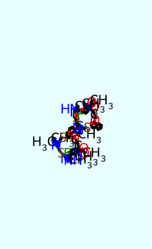 COC(=O)c1c2c3ccc(F)c(c3n1C)-c1c(n[nH]c1C)CSCc1cc(n(C(C)C)n1)CSc1cc(c3c(CC(C)n4nc5cc4CSc4cc(c6ccccc6c4)OCCCc4c(C(=O)OC)n(C)c6c(c(F)ccc46)-c4c(n[nH]c4C)CSC5)cccc3c1)OCCC2